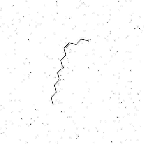 CCCCOCOCC/C=C\CCI